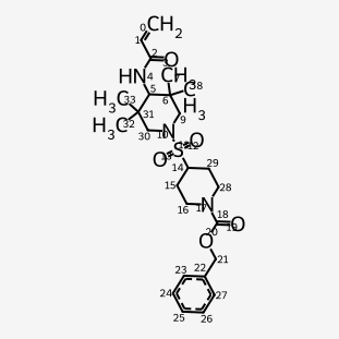 C=CC(=O)NC1C(C)(C)CN(S(=O)(=O)C2CCN(C(=O)OCc3ccccc3)CC2)CC1(C)C